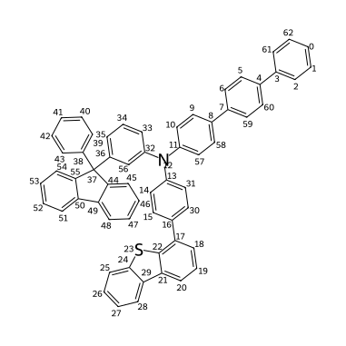 c1ccc(-c2ccc(-c3ccc(N(c4ccc(-c5cccc6c5sc5ccccc56)cc4)c4cccc(C5(c6ccccc6)c6ccccc6-c6ccccc65)c4)cc3)cc2)cc1